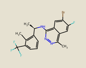 Cc1c([C@@H](C)Nc2nnc(C)c3cc(F)c(Br)cc23)cccc1C(F)(F)F